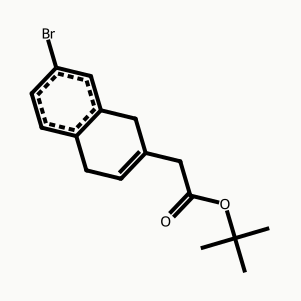 CC(C)(C)OC(=O)CC1=CCc2ccc(Br)cc2C1